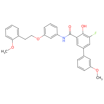 COc1cccc(-c2cc(F)c(O)c(C(=O)Nc3cccc(OCCc4ccccc4OC)c3)c2)c1